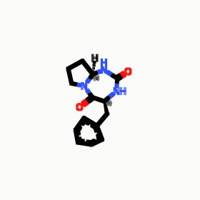 O=C1N[C@@H](Cc2ccccc2)C(=O)N2CCC[C@H]2N1